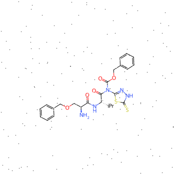 CC(C)[C@H](NC(=O)[C@@H](N)COCc1ccccc1)C(=O)N(C(=O)OCc1ccccc1)c1n[nH]c(=S)s1